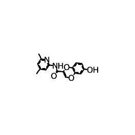 Cc1cc(C)nc(NC(=O)C2=COc3cc(O)ccc3O2)c1